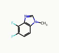 Cn1cnc2c(F)c(F)ccc21